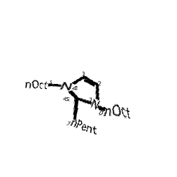 CCCCCCCCN1C=CN(CCCCCCCC)C1CCCCC